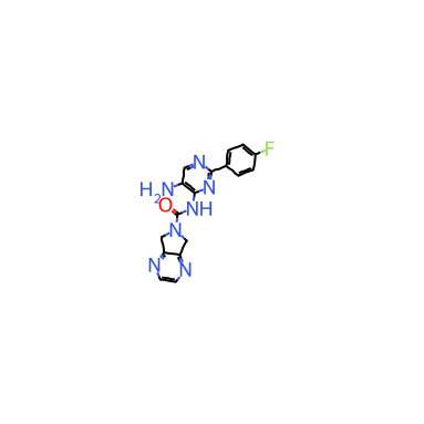 Nc1cnc(-c2ccc(F)cc2)nc1NC(=O)N1Cc2nccnc2C1